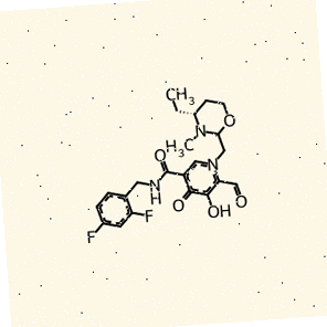 CC[C@@H]1CCOC(Cn2cc(C(=O)NCc3ccc(F)cc3F)c(=O)c(O)c2C=O)N1C